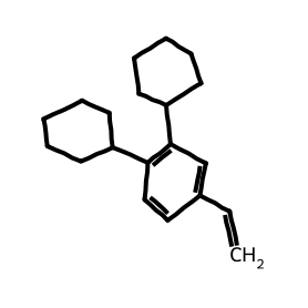 C=Cc1ccc(C2CCCCC2)c(C2CCCCC2)c1